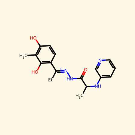 CC/C(=N\NC(=O)C(C)Nc1cccnc1)c1ccc(O)c(C)c1O